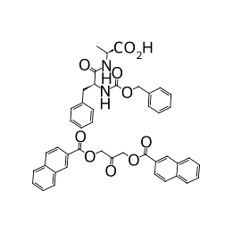 C[C@H](NC(=O)[C@H](Cc1ccccc1)NC(=O)OCc1ccccc1)C(=O)O.O=C(COC(=O)c1ccc2ccccc2c1)COC(=O)c1ccc2ccccc2c1